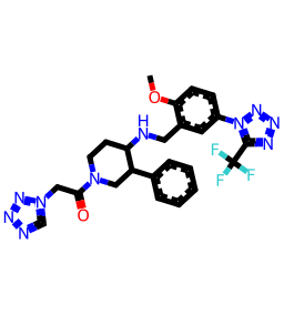 COc1ccc(-n2nnnc2C(F)(F)F)cc1CNC1CCN(C(=O)Cn2cnnn2)CC1c1ccccc1